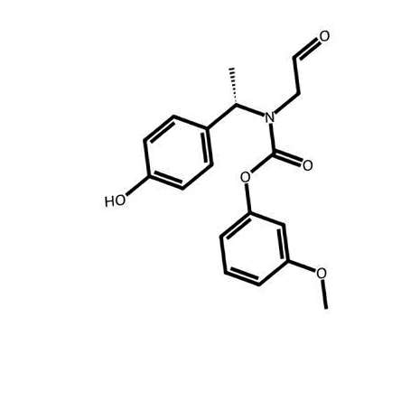 COc1cccc(OC(=O)N(CC=O)[C@@H](C)c2ccc(O)cc2)c1